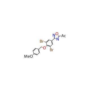 COc1ccc(COc2c(Br)cc(-c3noc(C(C)=O)n3)cc2Br)cc1